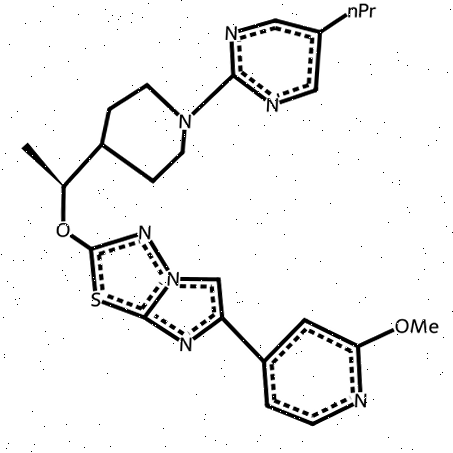 CCCc1cnc(N2CCC([C@H](C)Oc3nn4cc(-c5ccnc(OC)c5)nc4s3)CC2)nc1